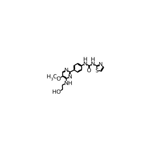 COc1cnc(-c2ccc(NC(=O)Nc3nccs3)cc2)nc1NCCO